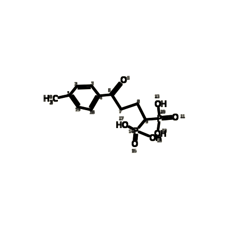 Cc1ccc(C(=O)CCC(P(=O)(O)O)P(=O)(O)O)cc1